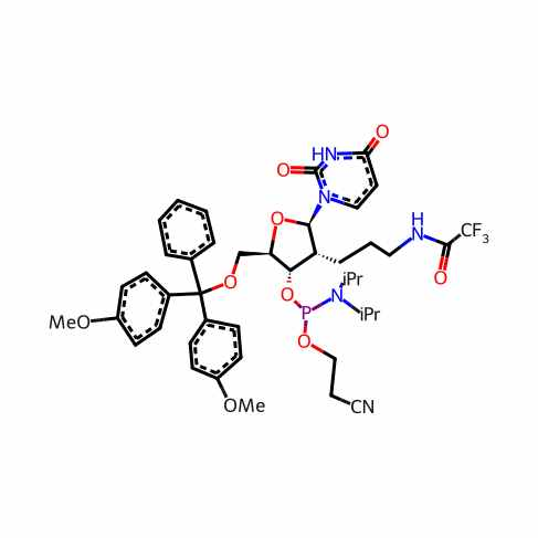 COc1ccc(C(OC[C@H]2O[C@@H](n3ccc(=O)[nH]c3=O)[C@H](CCCNC(=O)C(F)(F)F)[C@@H]2OP(OCCC#N)N(C(C)C)C(C)C)(c2ccccc2)c2ccc(OC)cc2)cc1